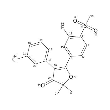 CC1(C)OC(c2ccc(S(C)(=O)=O)c(F)c2)=C(c2cccc(Cl)c2)C1=O